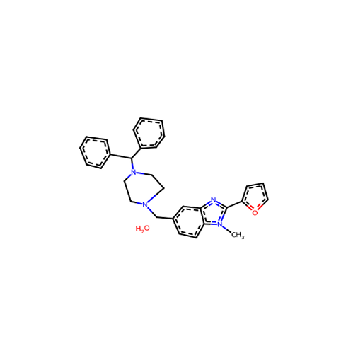 Cn1c(-c2ccco2)nc2cc(CN3CCN(C(c4ccccc4)c4ccccc4)CC3)ccc21.O